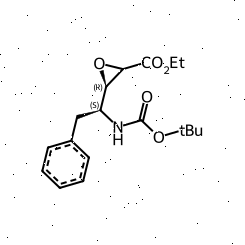 CCOC(=O)C1O[C@@H]1[C@H](Cc1ccccc1)NC(=O)OC(C)(C)C